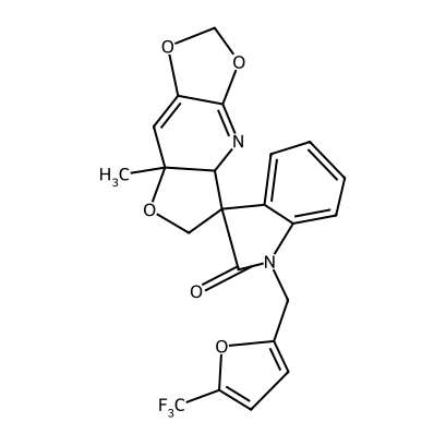 CC12C=C3OCOC3=NC1C1(CO2)C(=O)N(Cc2ccc(C(F)(F)F)o2)c2ccccc21